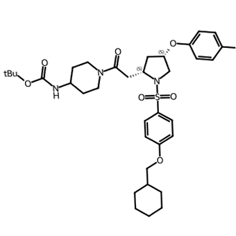 CC(C)(C)OC(=O)NC1CCN(C(=O)C[C@@H]2C[C@H](Oc3ccc(Cl)cc3)CN2S(=O)(=O)c2ccc(OCC3CCCCC3)cc2)CC1